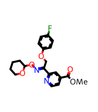 COC(=O)c1ccnc(/C(COc2ccc(F)cc2)=N/OC2CCCCO2)c1